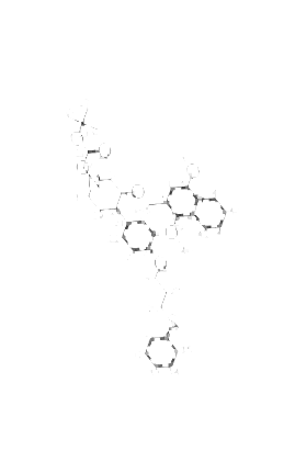 COc1cc(COC2CN(OC(=O)OC(C)(C)C)CCC2c2ccc(OCCCSc3ccccc3)cc2)c(OC)c2ccccc12